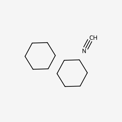 C#N.C1CCCCC1.C1CCCCC1